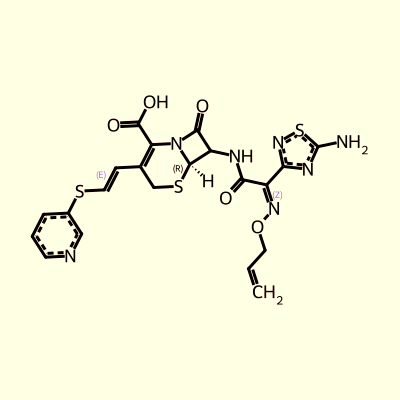 C=CCO/N=C(\C(=O)NC1C(=O)N2C(C(=O)O)=C(/C=C/Sc3cccnc3)CS[C@H]12)c1nsc(N)n1